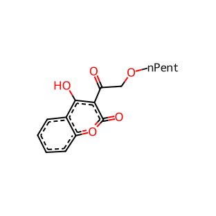 CCCCCOCC(=O)c1c(O)c2ccccc2oc1=O